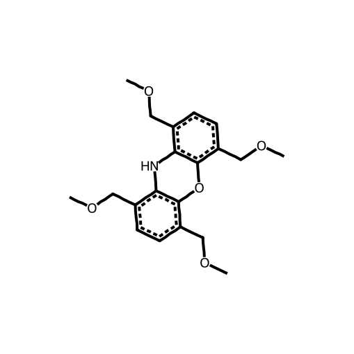 COCc1ccc(COC)c2c1Nc1c(COC)ccc(COC)c1O2